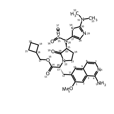 COc1cc2c(N)nccc2cc1C[C@H](C(=O)OCC1CCC1)N1CC[C@H](N(c2cnc(N(C)C)s2)[SH](=O)=O)C1=O